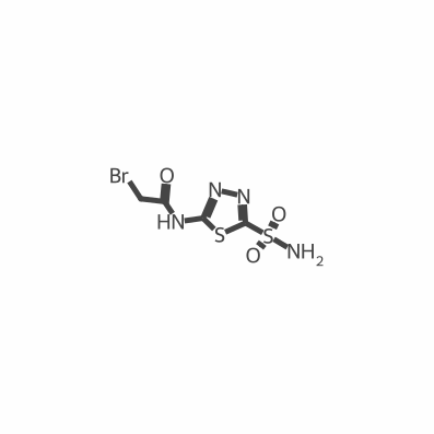 NS(=O)(=O)c1nnc(NC(=O)CBr)s1